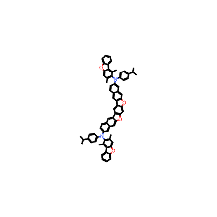 Cc1cc2oc3ccccc3c2c(C)c1N(c1ccc(C(C)C)cc1)c1ccc2cc3c(cc2c1)oc1cc2oc4cc5cc(N(c6ccc(C(C)C)cc6)c6c(C)cc7oc8ccccc8c7c6C)ccc5cc4c2cc13